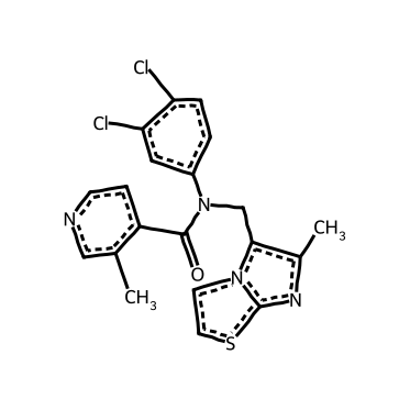 Cc1cnccc1C(=O)N(Cc1c(C)nc2sccn12)c1ccc(Cl)c(Cl)c1